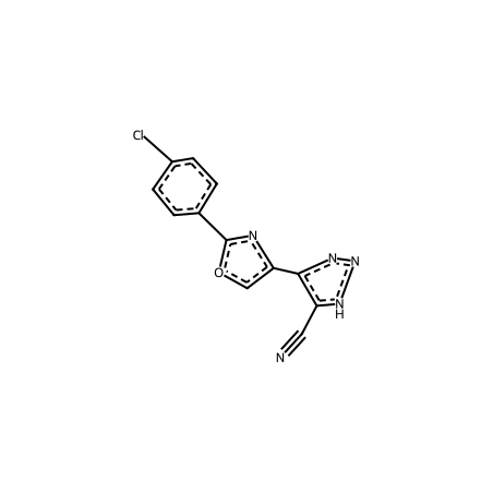 N#Cc1[nH]nnc1-c1coc(-c2ccc(Cl)cc2)n1